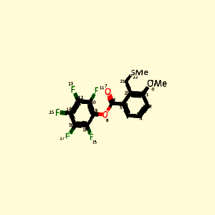 COc1cccc(C(=O)Oc2c(F)c(F)c(F)c(F)c2F)c1CSC